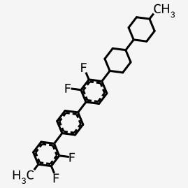 Cc1ccc(-c2ccc(-c3ccc(C4CCC(C5CCC(C)CC5)CC4)c(F)c3F)cc2)c(F)c1F